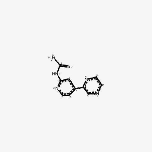 NC(=S)Nc1cc(-c2cnccn2)ccn1